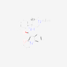 CCCCN1CCC(C2(NC(=O)c3c4n(c5ccccc35)CCCO4)CC(C)CCC2C(C)C)CC1